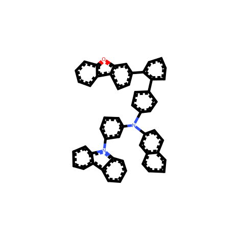 c1cc(N(c2ccc(-c3ccccc3-c3ccc4c(c3)oc3ccccc34)cc2)c2ccc3ccccc3c2)cc(-n2c3ccccc3c3ccccc32)c1